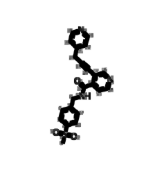 CS(=O)(=O)c1ccc(CNC(=O)c2ccncc2C#CCc2ccncc2)cc1